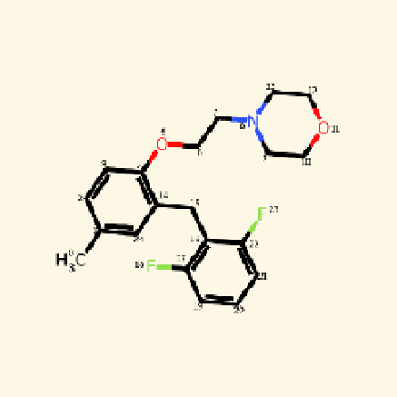 Cc1ccc(OCCN2CCOCC2)c(Cc2c(F)cccc2F)c1